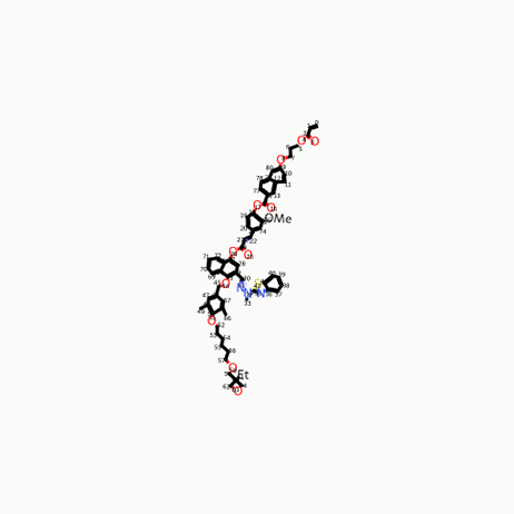 C=CC(=O)OCCCOc1ccc2cc(C(=O)Oc3ccc(/C=C/C(=O)Oc4cc(/C=N/N(C)c5nc6ccccc6s5)c(OCc5cc(C)c(OCCCCCCOCC6(CC)COC6)c(C)c5)c5ccccc45)cc3OC)ccc2c1